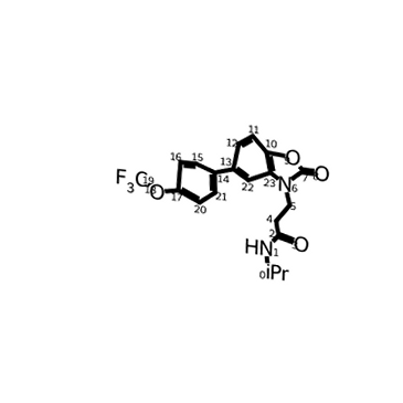 CC(C)NC(=O)CCn1c(=O)oc2ccc(-c3ccc(OC(F)(F)F)cc3)cc21